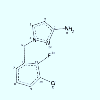 Nc1ccn(Cc2cccc(Cl)c2F)n1